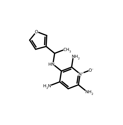 CC(Nc1c(N)cc(N)[n+]([O-])c1N)c1ccoc1